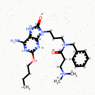 CCCCOc1nc(N)c2[nH]c(=O)n(CCCN(Cc3ccccc3)C(=O)CCN(C)C)c2n1